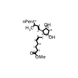 CCCCCC(C)/C=C/[C@@H]1[C@@H](C/C=C\CCCC(=O)OC)[C@@H](O)C[C@H]1O